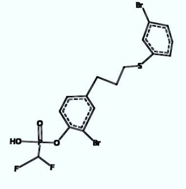 O=P(O)(Oc1ccc(CCCSc2cccc(Br)c2)cc1Br)C(F)F